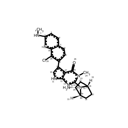 CNc1ccc2ccc(-c3c[nH]c4nc(N5[C@H]6CC[C@@H]5[C@H](N)C6)n(C)c(=O)c34)c(Cl)c2n1